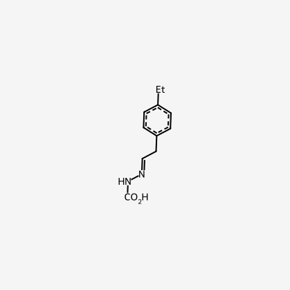 CCc1ccc(CC=NNC(=O)O)cc1